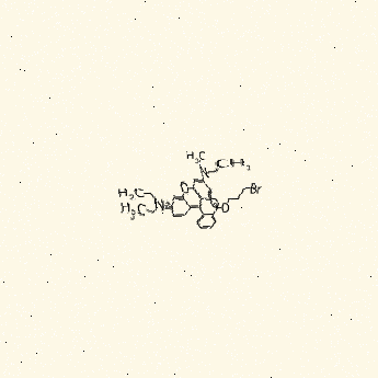 CCN(CC)c1ccc2c(-c3ccccc3C(=O)OCCCBr)c3ccc(=[N+](CC)CC)cc-3oc2c1